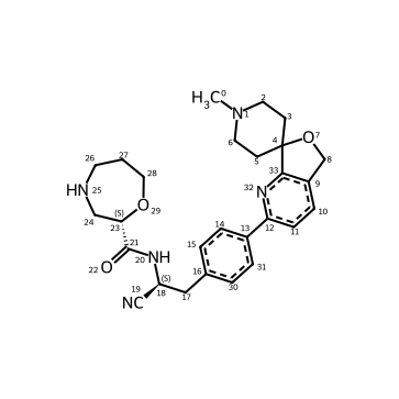 CN1CCC2(CC1)OCc1ccc(-c3ccc(C[C@@H](C#N)NC(=O)[C@@H]4CNCCCO4)cc3)nc12